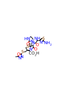 Cc1nnc(SCC2=C(C(=O)O)N3C(=O)C(N(C(=O)C(=N)c4csc(N)n4)N4CCNC4=O)[C@@H]3SC2)o1